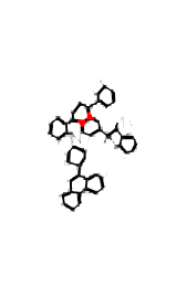 CC(C)(C)c1c(-c2cccc(N(c3ccc(-c4cc5ccccc5c5ccccc45)cc3)c3ccccc3-c3ccc(-c4ccccc4)cc3)c2)oc2ccccc12